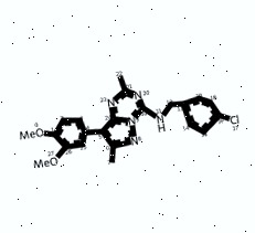 COc1ccc(-c2c(C)nn3c(NCc4ccc(Cl)cc4)nc(C)nc23)cc1OC